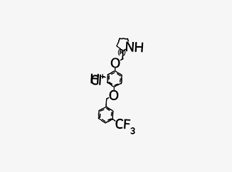 FC(F)(F)c1cccc(COc2ccc(OC[C@H]3CCCN3)cc2)c1.[Cl-].[H+]